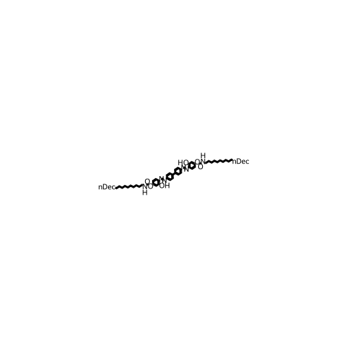 CCCCCCCCCCCCCCCCCCCCNC(=O)Oc1ccc(N=Nc2ccc(-c3ccc(N=Nc4ccc(OC(=O)NCCCCCCCCCCCCCCCCCCCC)cc4O)cc3)cc2)c(O)c1